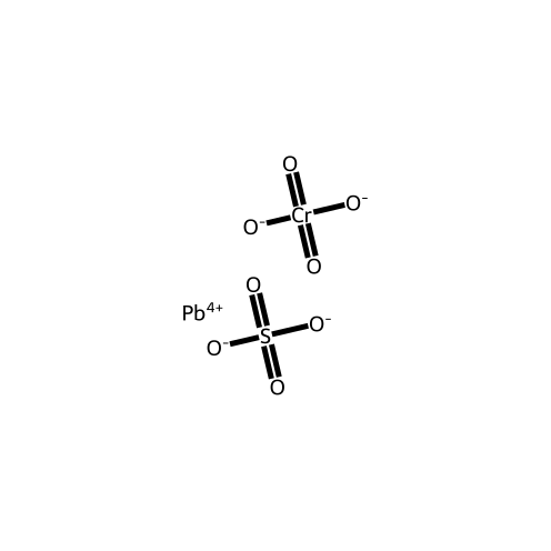 O=S(=O)([O-])[O-].[O]=[Cr](=[O])([O-])[O-].[Pb+4]